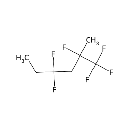 CCC(F)(F)CC(C)(F)C(F)(F)F